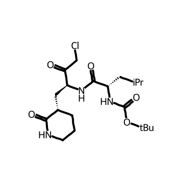 CC(C)C[C@H](NC(=O)OC(C)(C)C)C(=O)N[C@@H](C[C@@H]1CCCNC1=O)C(=O)CCl